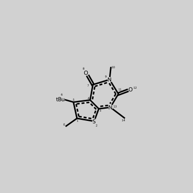 Cc1sc2c(c1C(C)(C)C)c(=O)n(C)c(=O)n2C